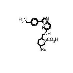 CC(C)(C)C1CCC(CNc2ccc3ncc(-c4ccc(CN)cc4)n3n2)N(C(=O)O)C1